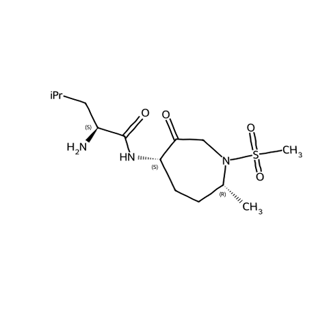 CC(C)C[C@H](N)C(=O)N[C@H]1CC[C@@H](C)N(S(C)(=O)=O)CC1=O